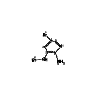 CC(C)Nc1cc(Br)cnc1N